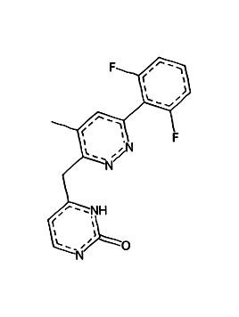 Cc1cc(-c2c(F)cccc2F)nnc1Cc1ccnc(=O)[nH]1